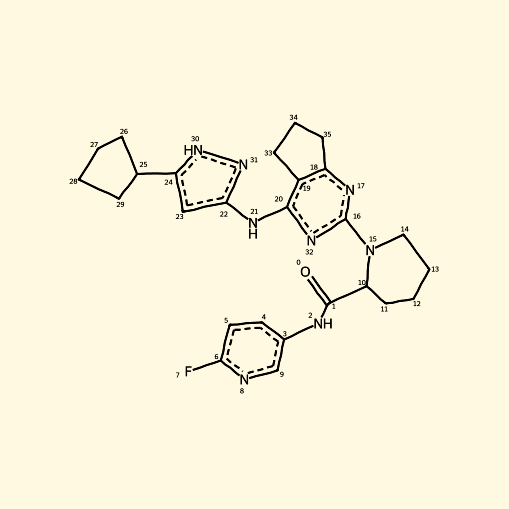 O=C(Nc1ccc(F)nc1)C1CCCCN1c1nc2c(c(Nc3cc(C4CCCC4)[nH]n3)n1)CCC2